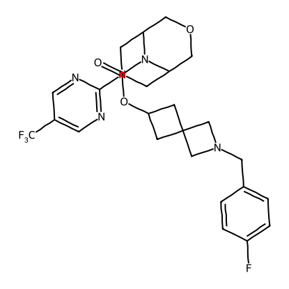 O=C(OC1CC2(C1)CN(Cc1ccc(F)cc1)C2)N1C2COCC1CN(c1ncc(C(F)(F)F)cn1)C2